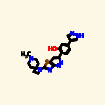 CN1CCC2(CC1)CCN2c1nc2nnc(-c3ccc(-c4cn[nH]c4)cc3O)cc2s1